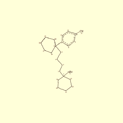 CCCCC1(CCCCC2(c3ccc(C#N)cc3)CCCCC2)CCCCC1